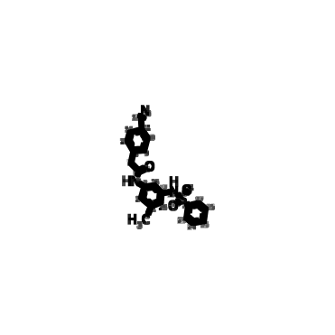 Cc1cc(NC(=O)Cc2ccc(C#N)cc2)cc(NS(=O)(=O)c2ccccc2)c1